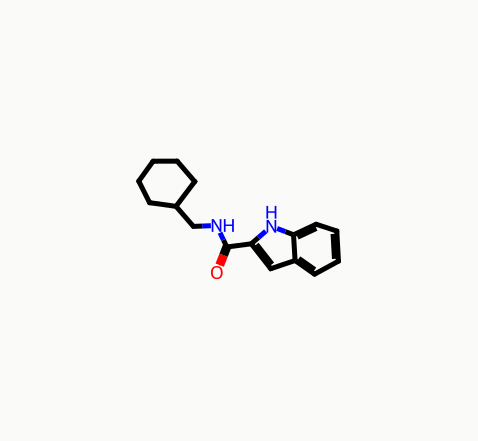 O=C(NCC1CCCCC1)c1cc2ccccc2[nH]1